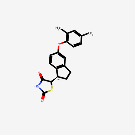 Cc1cc(C(F)(F)F)ccc1Oc1ccc2c(c1)CC[C@H]2C1SC(=O)NC1=O